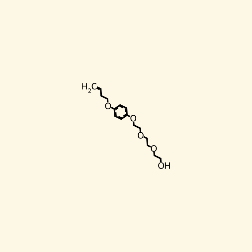 C=CCCOc1ccc(OCCOCCOCCO)cc1